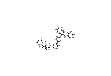 O=C(CC(Cc1ccccc1)C(=O)O)c1cccc(-c2ccc(-c3c(Cc4ccccc4)oc4ccccc34)cc2)c1